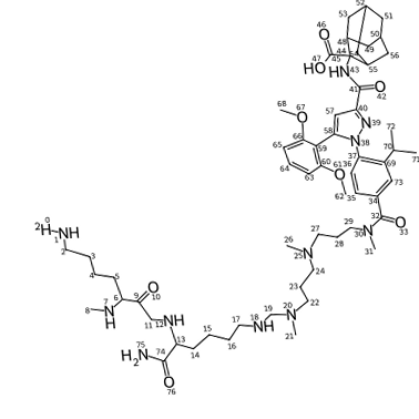 [2H]NCCCCC(NC)C(=O)CNC(CCCCNCN(C)CCCN(C)CCCN(C)C(=O)c1ccc(-n2nc(C(=O)NC3(C(=O)O)C4CC5CC(C4)CC3C5)cc2-c2c(OC)cccc2OC)c(C(C)C)c1)C(N)=O